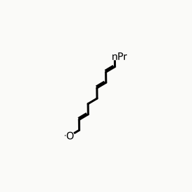 CCCC=CC=CCCC=CC[O]